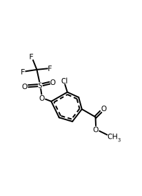 COC(=O)c1ccc(OS(=O)(=O)C(F)(F)F)c(Cl)c1